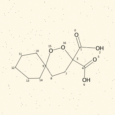 O=C(O)C1(C(=O)O)CCC2(CCCCC2)OO1